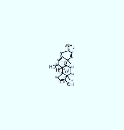 C[C@]12C=CC(N)CC1=CC(O)[C@@H]1[C@H]2CC[C@]2(C)C(O)=CC[C@@H]12